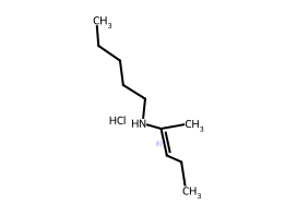 CC/C=C(\C)NCCCCC.Cl